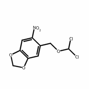 O=[N+]([O-])c1cc2c(cc1COC(Cl)Cl)OCO2